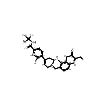 [2H]C([2H])([2H])NC(=O)c1ccc(C2=CCN(Cc3ccc4c(c3F)CC(=O)C(CC)=N4)CC2)c(F)n1